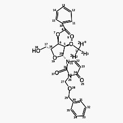 [2H]C([2H])([2H])O[C@@H]1[C@H](OC(=O)c2ccccc2)[C@@H](CO)O[C@H]1n1ccc(=O)n(COCc2ccccc2)c1=O